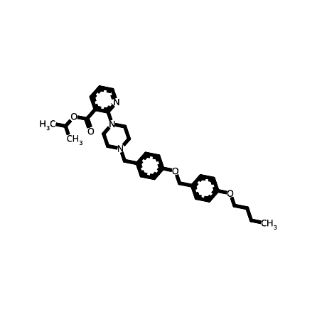 CCCCOc1ccc(COc2ccc(CN3CCN(c4ncccc4C(=O)OC(C)C)CC3)cc2)cc1